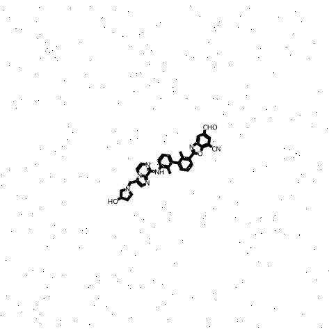 Cc1c(Nc2nccn3c(CN4CCC(O)C4)cnc23)cccc1-c1cccc(-c2nc3cc(C=O)cc(C#N)c3o2)c1C